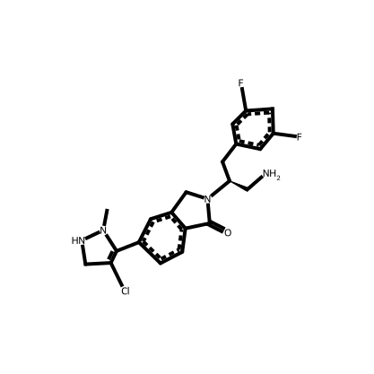 CN1NCC(Cl)=C1c1ccc2c(c1)CN([C@H](CN)Cc1cc(F)cc(F)c1)C2=O